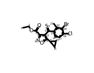 CCOC(=O)c1noc(C2CC2)c1C(=S)c1ccc(Cl)c(Br)c1C